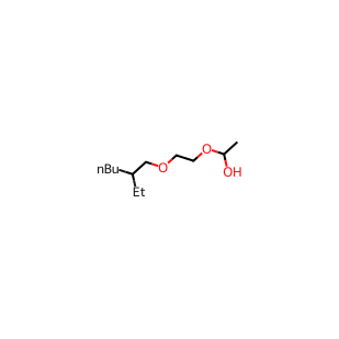 CCCCC(CC)COCCOC(C)O